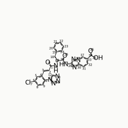 O=C(C=Cc1cc(Cl)ccc1-n1cnnn1)N[C@@H](Cc1ccccc1)C(=O)Nc1nc2ccc(C(=O)O)cn2n1